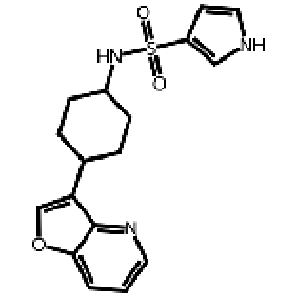 O=S(=O)(NC1CCC(c2coc3cccnc23)CC1)c1cc[nH]c1